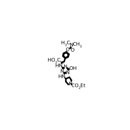 CCOC(=O)N1CCC(Nc2nc(O)nc(N[C@@H](Cc3ccc(OC(=O)N(C)C)cc3)C(=O)O)n2)CC1